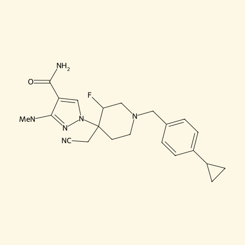 CNc1nn(C2(CC#N)CCN(Cc3ccc(C4CC4)cc3)CC2F)cc1C(N)=O